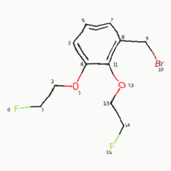 FCCOc1cccc(CBr)c1OCCF